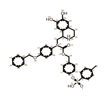 Cc1ccc(S(=O)(=O)O)cc1.O=C(OCc1ccccc1)N(CC1NCCc2cc(O)c(O)cc21)c1ccc(OCc2ccccc2)cc1